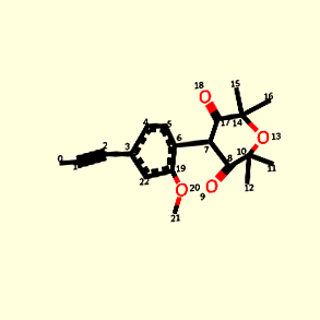 CC#Cc1ccc(C2C(=O)C(C)(C)OC(C)(C)C2=O)c(OC)c1